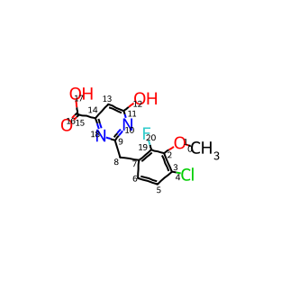 COc1c(Cl)ccc(Cc2nc(O)cc(C(=O)O)n2)c1F